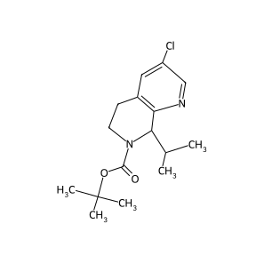 CC(C)C1c2ncc(Cl)cc2CCN1C(=O)OC(C)(C)C